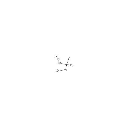 OCC(F)(F)F.[K+].[OH-]